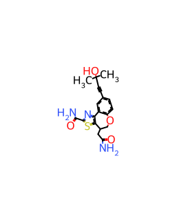 CC(C)(O)C#Cc1ccc2c(c1)-c1nc(C(N)=O)sc1C(CC(N)=O)CO2